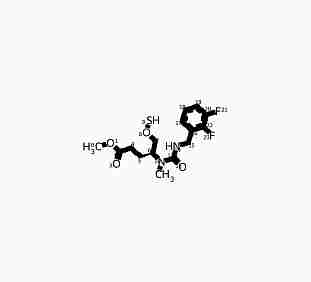 COC(=O)CC[C@@H](COS)N(C)C(=O)NCc1cccc(F)c1F